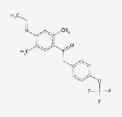 C/C=N/c1cc(C)c(C(=O)Cc2ccc(OC(F)(F)F)cc2)cc1C